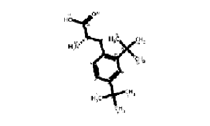 CC(C)(C)c1ccc(C[C@H](N)C(=O)O)c(C(C)(C)C)c1